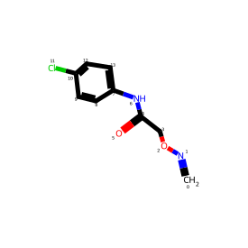 C=NOCC(=O)Nc1ccc(Cl)cc1